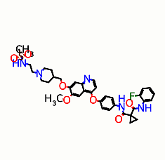 COc1cc2c(Oc3ccc(NC(=O)C4(C(=O)Nc5ccccc5F)CC4)cc3)ccnc2cc1OCC1CCN(CCNS(C)(=O)=O)CC1